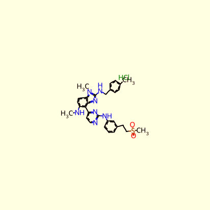 CNc1ccc2c(nc(NCc3ccc(C)cc3)n2C)c1-c1ccnc(Nc2cccc(CCS(C)(=O)=O)c2)n1.Cl